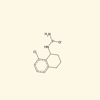 N[S+]([O-])NC1CCCc2cccc(Cl)c21